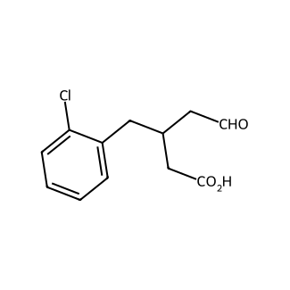 O=CCC(CC(=O)O)Cc1ccccc1Cl